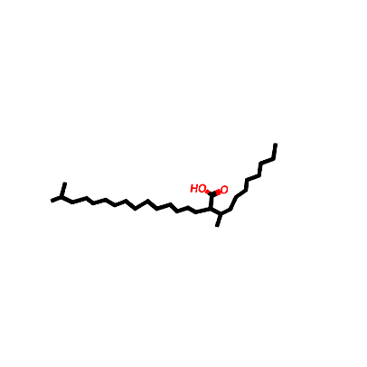 CCCCCCCCC(C)C(CCCCCCCCCCCCCC(C)C)C(=O)O